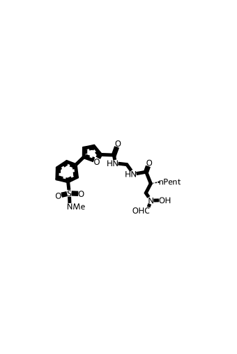 CCCCC[C@H](CN(O)C=O)C(=O)NCNC(=O)c1ccc(-c2cccc(S(=O)(=O)NC)c2)o1